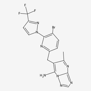 Cc1nc2ncnn2c(N)c1Cc1ccc(Br)c(-n2ccc(C(F)(F)F)n2)n1